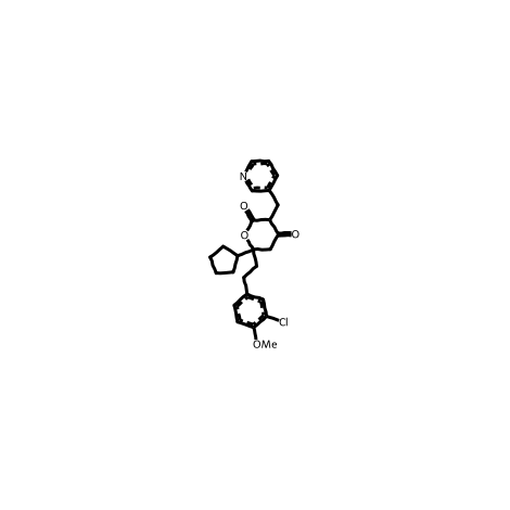 COc1ccc(CCC2(C3CCCC3)CC(=O)C(Cc3cccnc3)C(=O)O2)cc1Cl